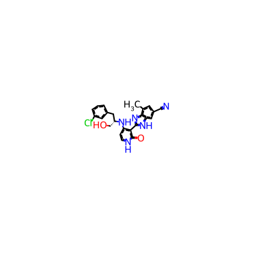 Cc1cc(C#N)cc2[nH]c(-c3c(N[C@H](CO)Cc4cccc(Cl)c4)cc[nH]c3=O)nc12